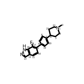 CN1CCC(c2ccc(-c3ccc4cn[nH]c4c3F)cc2)CC1